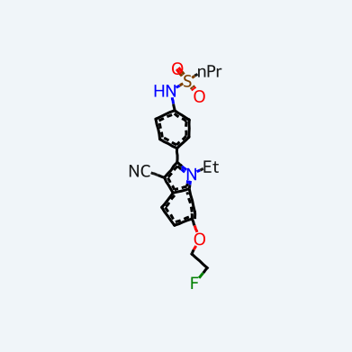 CCCS(=O)(=O)Nc1ccc(-c2c(C#N)c3ccc(OCCF)cc3n2CC)cc1